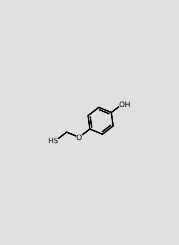 Oc1ccc(OCS)cc1